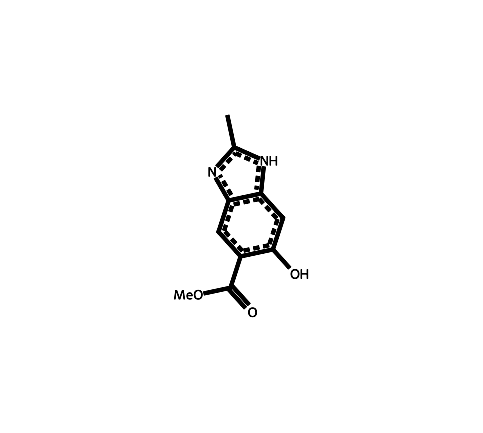 COC(=O)c1cc2nc(C)[nH]c2cc1O